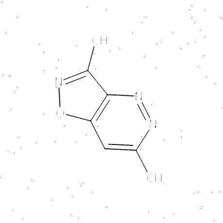 Cc1cc2onc(C)c2nn1